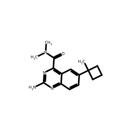 CN(C)C(=O)c1nc(N)nc2ccc(C3(C)CCC3)cc12